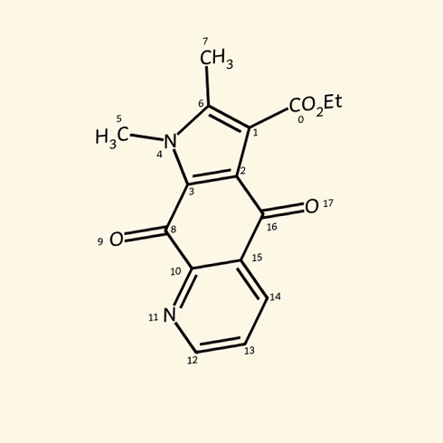 CCOC(=O)c1c2c(n(C)c1C)C(=O)c1ncccc1C2=O